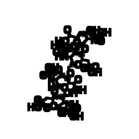 C[C@@H]1OC(CS(=O)(=O)O)[C@@H](O[C@@H]2OC(C(=O)O)[C@@H](OC[C@H]3OC(CS(=O)(=O)O)[C@@H](O[C@@H]4OC(C(=O)O)=C[C@@H](O)C4NS(=O)(=O)O)[C@@H](O)C3NS(=O)(=O)O)[C@@H](O)C2NS(=O)(=O)O)[C@@H](O)C1NS(=O)(=O)O